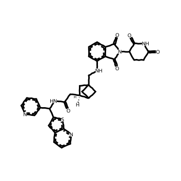 O=C1CCC(N2C(=O)c3cccc(NCC45CC(C4)[C@@H](CC(=O)NC(c4cccnc4)c4cc6cccnc6s4)C5)c3C2=O)C(=O)N1